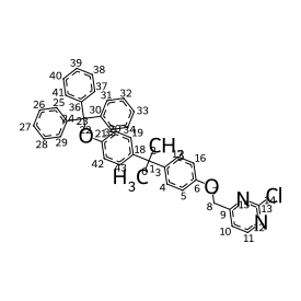 CC(C)(c1ccc(OCc2ccnc(Cl)n2)cc1)c1ccc(OC(c2ccccc2)(c2ccccc2)c2ccccc2)cc1